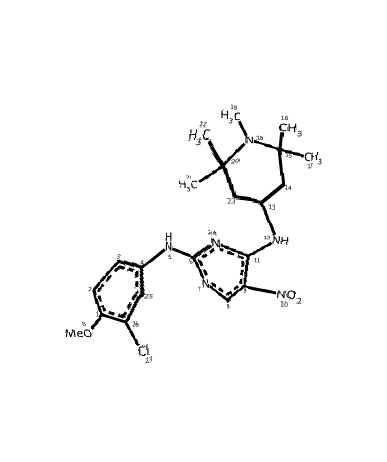 COc1ccc(Nc2ncc([N+](=O)[O-])c(NC3CC(C)(C)N(C)C(C)(C)C3)n2)cc1Cl